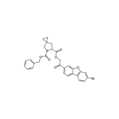 O=C(COC(=O)C1CC2(CC2)CN1C(=O)OCc1ccccc1)c1ccc2c(c1)oc1cc(Br)ccc12